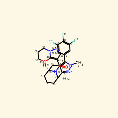 Cn1nc2c(c1-c1cc(F)c(F)c(F)c1)C[C@@H]1CCC[C@H]2N1C(=O)c1cnn2c1OCCC2